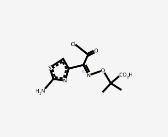 CC(C)(O/N=C(\C(=O)Cl)c1csc(N)n1)C(=O)O